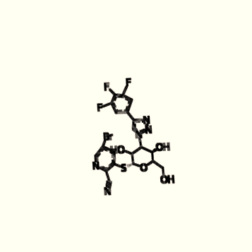 N#Cc1ncc(Br)cc1S[C@H]1OC(CO)[C@H](O)C(n2cc(-c3cc(F)c(F)c(F)c3)nn2)C1O